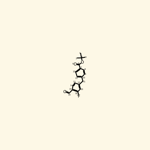 CC(C)(C)OC(=O)c1ccc(Cc2ccc(C=O)c(F)c2)cc1